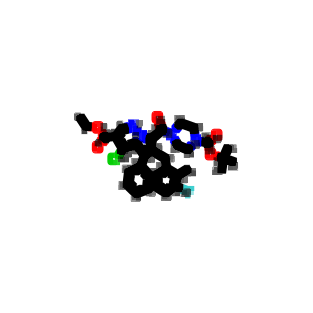 CCOC(=O)c1cnn2c(C(=O)N3CCN(C(=O)OC(C)(C)C)CC3)c(Cc3cccc(F)c3C)c(-c3ccccc3)c2c1Cl